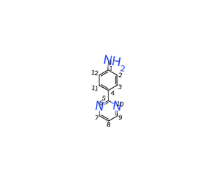 Nc1ccc(-c2ncccn2)cc1